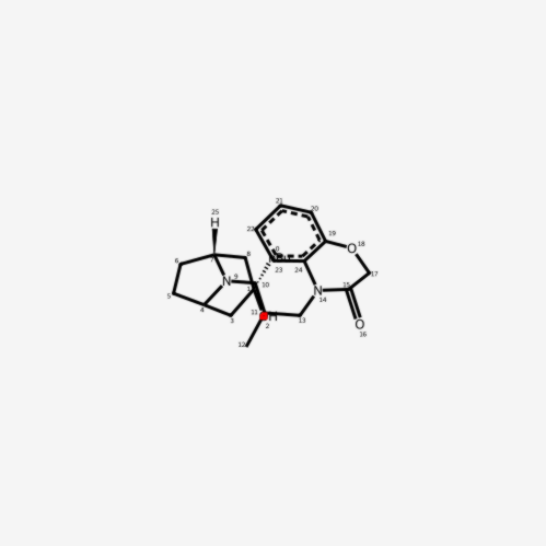 CCCC[C@]1(O)CC2CC[C@H](C1)N2CC(C)CN1C(=O)COc2ccccc21